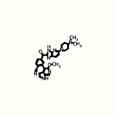 COc1ncc2[nH]ccc2c1-c1cc(C(=O)c2nc3ccc(N4CCC(N(C)C)CC4)nc3[nH]2)ccc1C#N